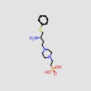 N[C@H](CCN1CCN(CCP(=O)(O)O)CC1)CSc1ccccc1